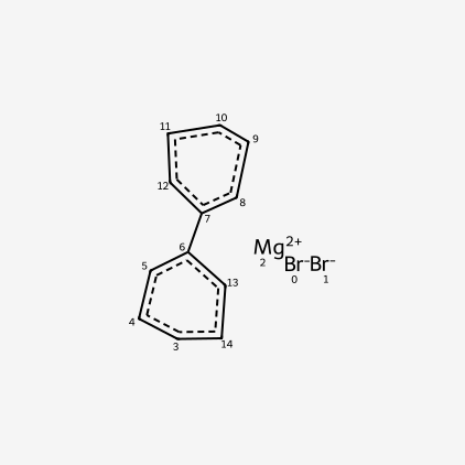 [Br-].[Br-].[Mg+2].c1ccc(-c2ccccc2)cc1